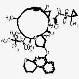 C[C@H]1CC/C=C\[C@@H]2C[C@@]2(C(=O)NS(=O)(=O)C2(C)CC2)NC(=O)[C@@H]2C[C@@H](Oc3nc4c(c5ccccc35)CCCO4)CN2C(=O)[C@@H](N(C(=O)O)C(C)(C)C(F)(F)F)[C@H](C)C1